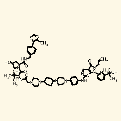 C=CCn1c(=O)c2cnc(Nc3ccc(N4CCN(C5CCC(N6CCN(CC(=O)N[C@H](C(=O)N7CC(O)CC7C(=O)NCc7ccc(-c8scnc8C)cc7)C(C)(C)C)CC6)CC5)CC4)cc3)nc2n1-c1cccc(C(C)(C)O)n1